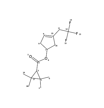 CC1(C)C(C(=O)OC2CC=C(CC(F)(F)F)C2)C1(C)C